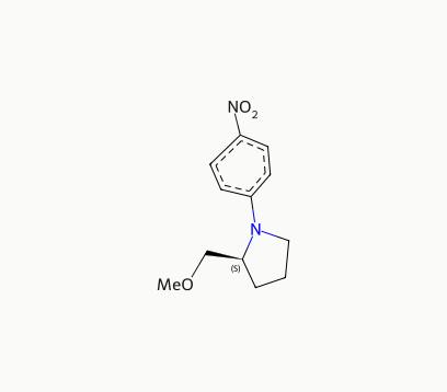 COC[C@@H]1CCCN1c1ccc([N+](=O)[O-])cc1